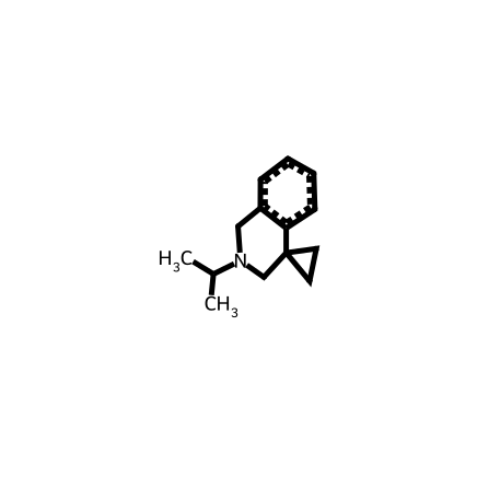 CC(C)N1Cc2ccccc2C2(CC2)C1